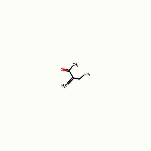 C=C(CC)C(C)=O